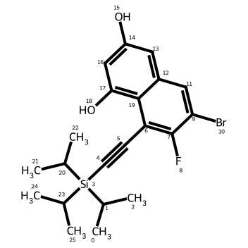 CC(C)[Si](C#Cc1c(F)c(Br)cc2cc(O)cc(O)c12)(C(C)C)C(C)C